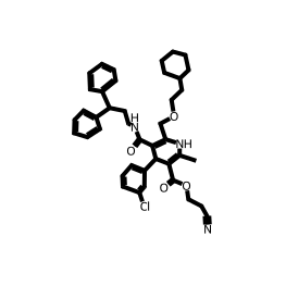 CC1=C(C(=O)OCCC#N)C(c2cccc(Cl)c2)C(C(=O)NCCC(c2ccccc2)c2ccccc2)=C(COCCC2CCCCC2)N1